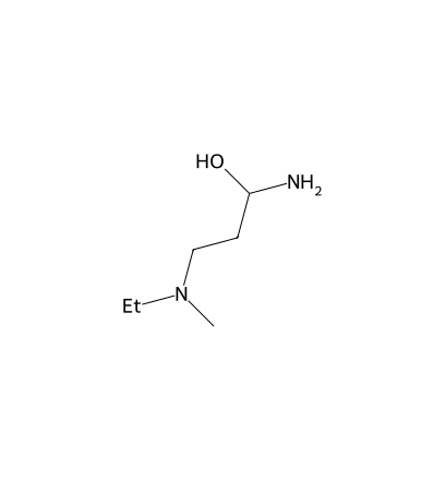 CCN(C)CCC(N)O